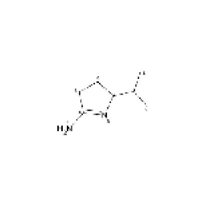 CC(C)C1CCC(N)=N1